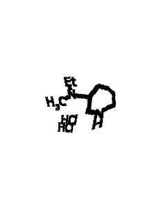 CCN(C)C1CCCNC1.Cl.Cl